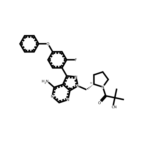 CC(C)(C#N)C(=O)N1CCC[C@H]1Cn1nc(-c2ccc(Oc3ccccc3)cc2F)c2c(N)ncnc21